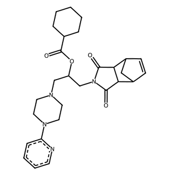 O=C(OC(CN1CCN(c2ccccn2)CC1)CN1C(=O)C2C3C=CC(C3)C2C1=O)C1CCCCC1